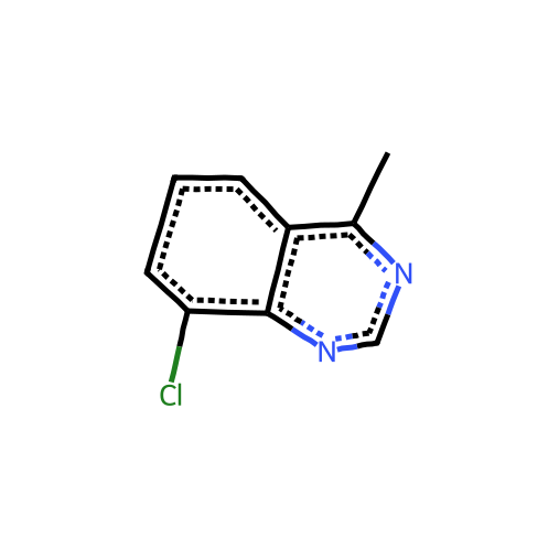 Cc1ncnc2c(Cl)cccc12